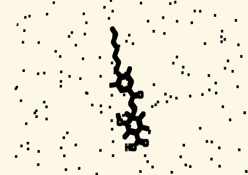 CCCCCCSc1c(C)cc(C(=O)C=CC2(C)C(C)=C(C)C(C(=O)O)=C(C)C2OC)cc1C